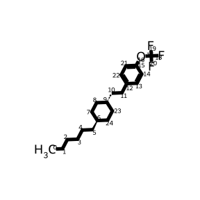 CCCCCC[C@H]1CC[C@H](CCc2ccc(OC(F)(F)F)cc2)CC1